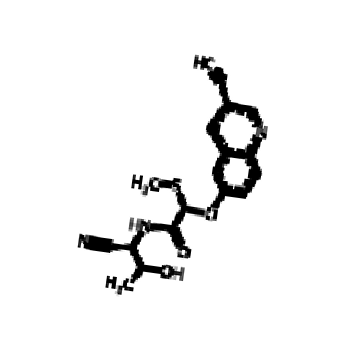 C#Cc1cnc2ccc(OC(SC)C(=O)NC(C#N)C(C)O)cc2c1